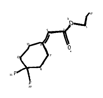 CCOC(=O)C=C1CCC(F)(F)CC1